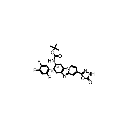 CC(C)(C)OC(=O)N[C@H]1Cc2c(nc3cc(-c4n[nH]c(=O)o4)ccn23)C[C@@H]1c1cc(F)c(F)cc1F